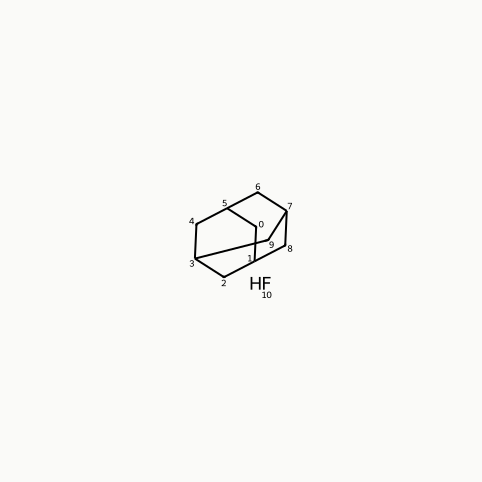 C1C2CC3CC1CC(C2)C3.F